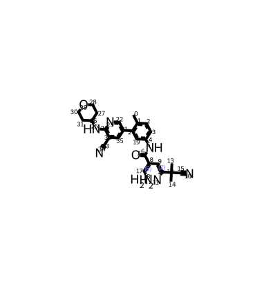 Cc1ccc(NC(=O)C(/C=C(\N)C(C)(C)C#N)=C/N)cc1-c1cnc(NC2CCOCC2)c(C#N)c1